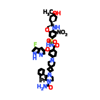 CC(C)c1ccccc1[C@H]1CN(C(N)=O)CCN1C1CC2(CCN(c3ccc(C(=O)NS(=O)(=O)c4cc5c(c([N+](=O)[O-])c4)N[C@@H]([C@H]4CC[C@](C)(O)CC4)CO5)c(Oc4cnc5[nH]cc(F)c5c4)c3)CC2)C1